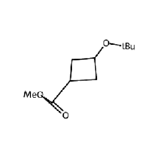 COC(=O)C1CC(OC(C)(C)C)C1